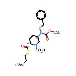 CCCCCCCCCCCCSC(=O)[C@@H]1CC[C@@H](N(OCc2ccccc2)C(=O)OC(Cl)(Cl)Cl)CN1C(=O)O